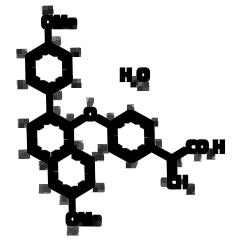 C=C(C(=O)O)c1ccc(Oc2c(-c3ccc(OC)cc3)ccc3cc(OC)ccc23)cc1.O